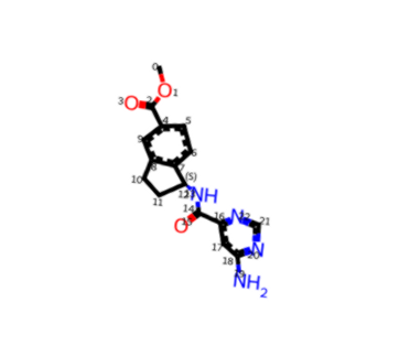 COC(=O)c1ccc2c(c1)CC[C@@H]2NC(=O)c1cc(N)ncn1